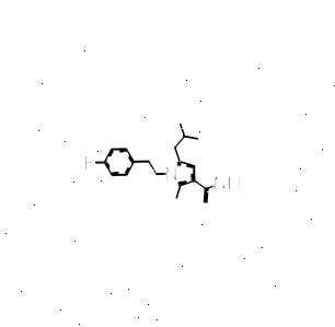 C=C(N)c1cc(CC(C)C)n(CCc2ccc(F)cc2)c1C